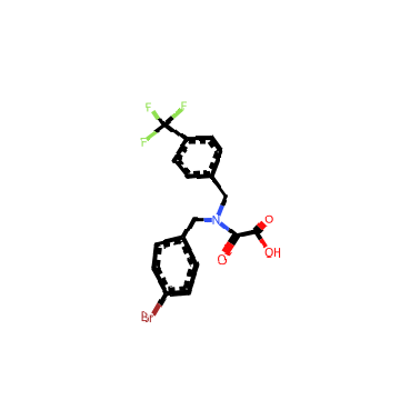 O=C(O)C(=O)N(Cc1ccc(Br)cc1)Cc1ccc(C(F)(F)F)cc1